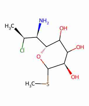 CSC1O[C@H]([C@H](N)[C@H](C)Cl)C(O)C(O)[C@H]1O